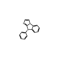 c1ccc(-n2c3ccccc3n3ccnc23)cc1